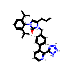 CCCc1cn(-c2c(C(C)C)cccc2C(C)C)c(=O)n1Cc1ccc(-c2cccnc2-c2nnn[nH]2)cc1